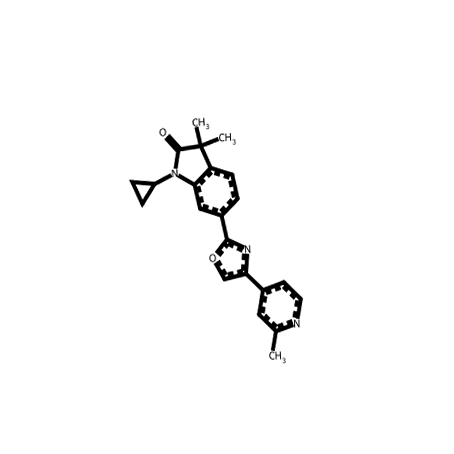 Cc1cc(-c2coc(-c3ccc4c(c3)N(C3CC3)C(=O)C4(C)C)n2)ccn1